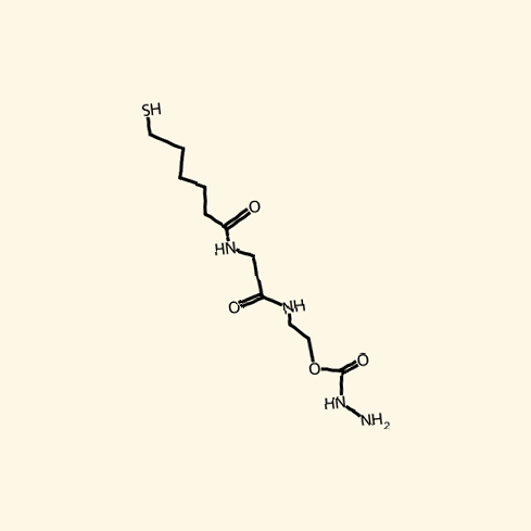 NNC(=O)OCCNC(=O)CNC(=O)CCCCCS